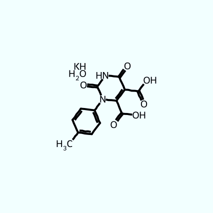 Cc1ccc(-n2c(C(=O)O)c(C(=O)O)c(=O)[nH]c2=O)cc1.O.[KH]